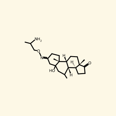 CC(N)CON=C1CC[C@]2(C)[C@@H]3CC[C@]4(C)C(=O)CC[C@H]4[C@@H]3C(C)CC2(O)C1